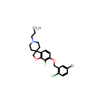 CCc1ccc(Cl)c(COc2ccc3c(c2F)OCC32CCN(CCC(=O)O)CC2)c1